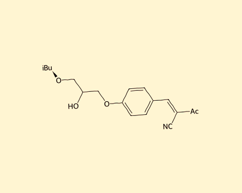 CC[C@H](C)OCC(O)COc1ccc(/C=C(\C#N)C(C)=O)cc1